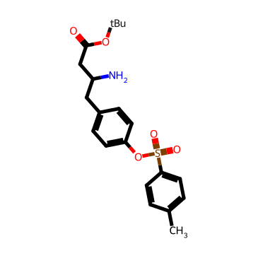 Cc1ccc(S(=O)(=O)Oc2ccc(CC(N)CC(=O)OC(C)(C)C)cc2)cc1